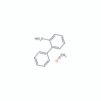 C=O.O=S(=O)(O)c1ccccc1-c1ccccc1